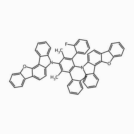 Cc1c(-c2ccccc2F)c(-n2c3ccccc3c3c4oc5ccccc5c4ccc32)c(-c2ccccc2F)c(C)c1-n1c2ccccc2c2c3oc4ccccc4c3ccc21